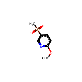 CS(=O)(=O)c1ccc(OC=O)nc1